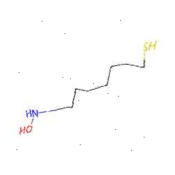 ONCCCCCS